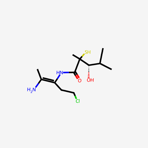 C/C(N)=C(/CCCl)NC(=O)C(C)(S)[C@@H](O)C(C)C